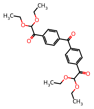 CCOC(OCC)C(=O)c1ccc(C(=O)c2ccc(C(=O)C(OCC)OCC)cc2)cc1